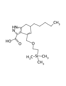 CCCCCC1C=C(COCC[Si](C)(C)C)c2c(C(=O)O)n[nH]c2C1